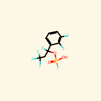 O=P(O)(F)OC(F)(CC(F)(F)F)c1cccc(F)c1F